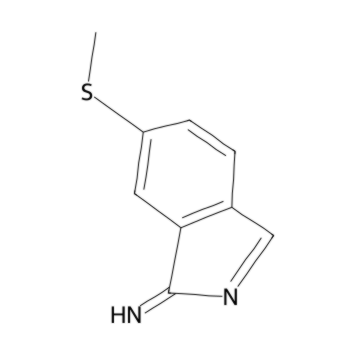 CSc1ccc2c(c1)C(=N)N=C2